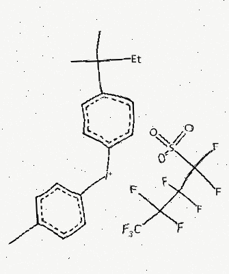 CCC(C)(C)c1ccc([I+]c2ccc(C)cc2)cc1.O=S(=O)([O-])C(F)(F)C(F)(F)C(F)(F)C(F)(F)F